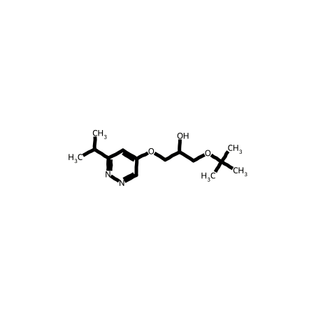 CC(C)c1cc(OCC(O)COC(C)(C)C)cnn1